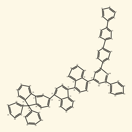 c1ccc(-c2ccc(-c3ccc(-c4cc(-c5ccc(-c6ccc(-c7ccc8c(c7)-c7ccccc7C8(c7ccccc7)c7ccccc7)c7ccccc67)c6ccccc56)nc(-c5ccccc5)n4)cc3)cc2)cc1